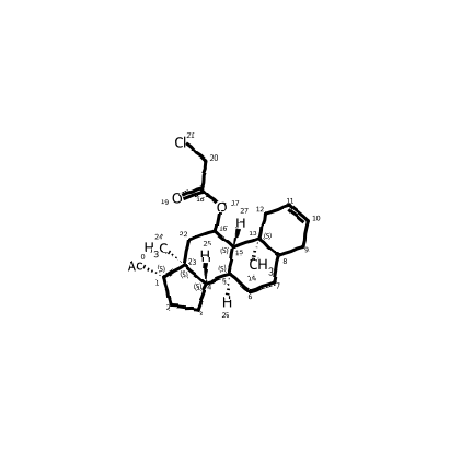 CC(=O)[C@H]1CC[C@H]2[C@@H]3CCC4CC=CC[C@]4(C)[C@H]3C(OC(=O)CCl)C[C@]12C